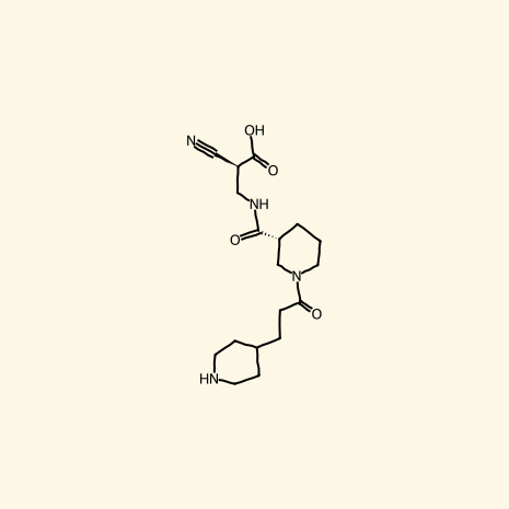 N#C[C@H](CNC(=O)[C@@H]1CCCN(C(=O)CCC2CCNCC2)C1)C(=O)O